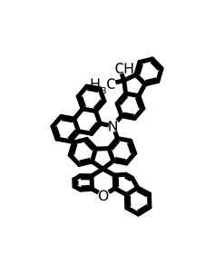 CC1(C)c2ccccc2-c2ccc(N(c3cccc4c3-c3ccccc3C43c4ccccc4Oc4c3ccc3ccccc43)c3cc4ccccc4c4ccccc34)cc21